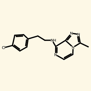 Cc1nnc2c(NCCc3ccc(Cl)cc3)nccn12